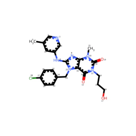 Cc1cncc(Nc2nc3c(c(=O)n(CCCO)c(=O)n3C)n2Cc2ccc(Cl)cc2)c1